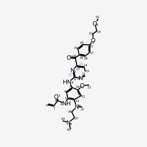 C=CC(=O)Nc1cc(N/C(N=C)=N/C(=C\C)C(=O)c2ccc(OCCOC)cc2)c(OC)cc1N(C)CCN(C)C